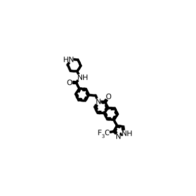 O=C(NC1CCNCC1)c1cccc(Cn2ccc3cc(-c4c[nH]nc4C(F)(F)F)ccc3c2=O)c1